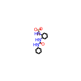 O=C(Nc1ccccc1)Nc1ccccc1N[SH](=O)=O